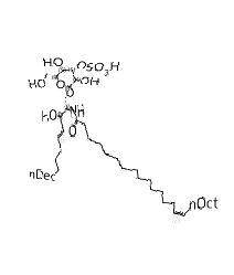 CCCCCCCC/C=C\CCCCCCCCCCCCCC(=O)N[C@@H](CO[C@@H]1O[C@H](CO)[C@H](O)[C@H](OS(=O)(=O)O)[C@H]1O)[C@H](O)/C=C/CCCCCCCCCCCCC